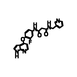 O=C(CC(=O)Nc1ccc(Oc2ccnc3[nH]ccc23)c(F)c1)NCc1cccnc1